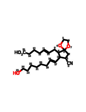 N#C[C@@H]1CC2(OCCO2)C(CC=CCCCC(=O)O)C1C=CCCCCCCO